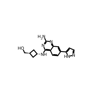 Nc1nc(N[C@H]2C[C@H](CO)C2)c2ccc(-c3ccn[nH]3)cc2n1